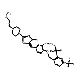 COCCN1CCN(C2=NC(=O)/C(=C\c3ccc(OCc4ccc(C(F)(F)F)cc4C(F)(F)F)c(OC)c3)S2)CC1